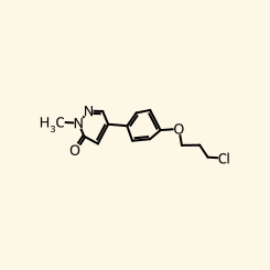 Cn1ncc(-c2ccc(OCCCCl)cc2)cc1=O